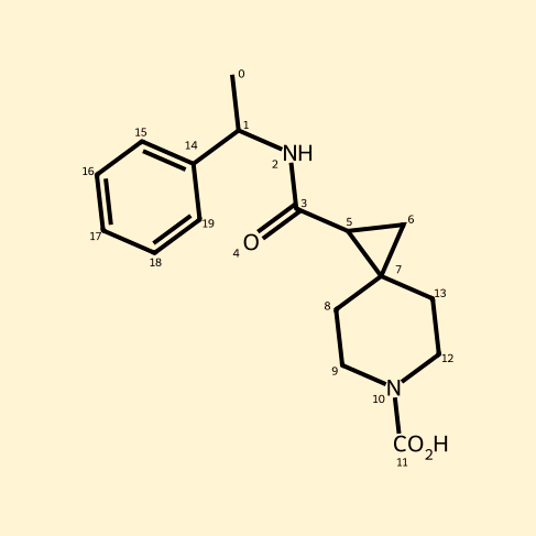 CC(NC(=O)C1CC12CCN(C(=O)O)CC2)c1ccccc1